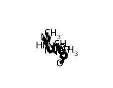 Cc1ccc(Nc2ncc3c(n2)N(C)C(=O)N(c2cc(C=O)ccc2C)C3)cn1